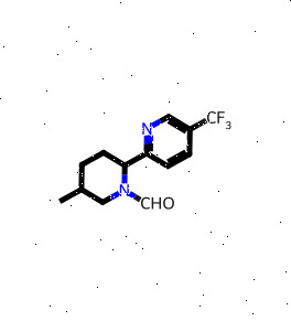 CC1CCC(c2ccc(C(F)(F)F)cn2)N(C=O)C1